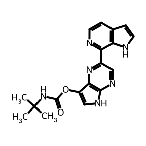 CC(C)(C)NC(=O)Oc1c[nH]c2ncc(-c3nccc4cc[nH]c34)nc12